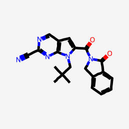 CC(C)(C)Cn1c(C(=O)N2Cc3ccccc3C2=O)cc2cnc(C#N)nc21